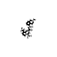 [CH2]CN1CCc2c(cccc2NCC(=O)N(CCNC)Cc2ncccc2C(F)(F)F)C1